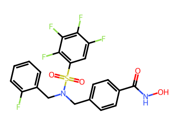 O=C(NO)c1ccc(CN(Cc2ccccc2F)S(=O)(=O)c2cc(F)c(F)c(F)c2F)cc1